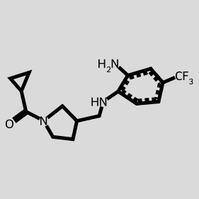 Nc1cc(C(F)(F)F)ccc1NCC1CCN(C(=O)C2CC2)C1